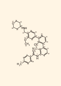 [CH2]c1ccc(C(=O)Nc2cccc(-c3ccnc(-c4ccc(CNC5CCOCC5)c(OC)c4)c3Cl)c2C)nc1